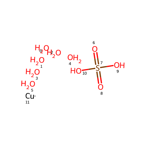 O.O.O.O.O.O.O=S(=O)(O)O.[Cu]